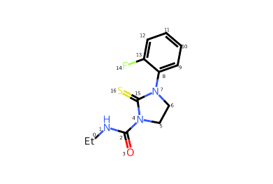 CCNC(=O)N1CCN(c2ccccc2F)C1=S